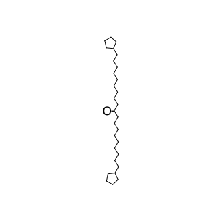 O=C(CCCCCCCCCC1CCCC1)CCCCCCCCCC1CCCC1